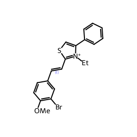 CC[n+]1c(-c2ccccc2)csc1/C=C/c1ccc(OC)c(Br)c1